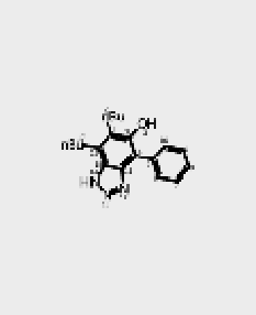 CCCCc1c(O)c(-c2ccccc2)c2nn[nH]c2c1CCCC